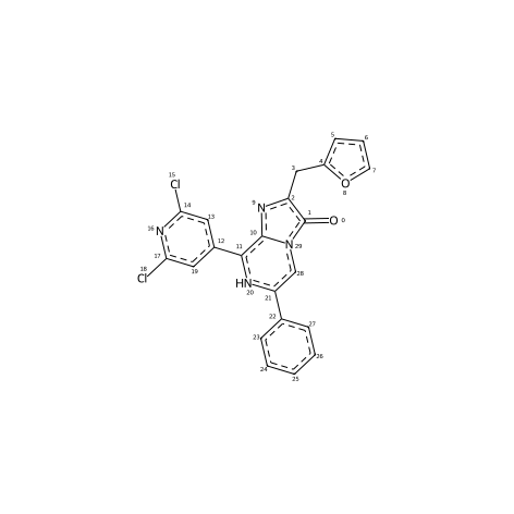 O=c1c(Cc2ccco2)nc2c(-c3cc(Cl)nc(Cl)c3)[nH]c(-c3ccccc3)cn1-2